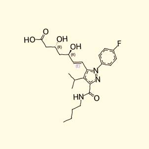 CCCCNC(=O)c1nn(-c2ccc(F)cc2)c(/C=C/[C@H](O)C[C@@H](O)CC(=O)O)c1C(C)C